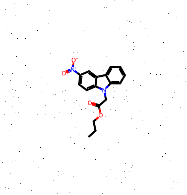 CCCOC(=O)Cn1c2ccccc2c2cc([N+](=O)[O-])ccc21